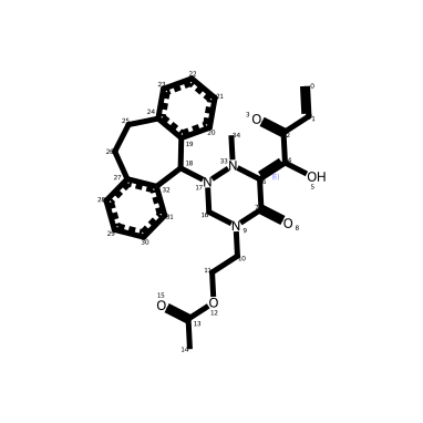 C=CC(=O)/C(O)=C1/C(=O)N(CCOC(C)=O)CN(C2c3ccccc3CCc3ccccc32)N1C